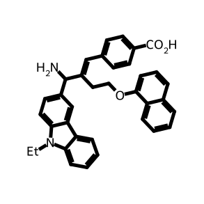 CCn1c2ccccc2c2cc(C(N)/C(=C/c3ccc(C(=O)O)cc3)CCOc3cccc4ccccc34)ccc21